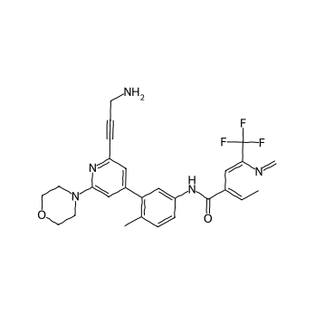 C=N/C(=C\C(=C/C)C(=O)Nc1ccc(C)c(-c2cc(C#CCN)nc(N3CCOCC3)c2)c1)C(F)(F)F